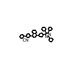 N#Cc1ccccc1-c1ccc(-c2ccc(-c3ccc(-c4nc(-c5ccccc5)nc(-c5ccccc5)c4-c4ccccc4)cc3)c3ccccc23)cc1